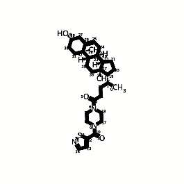 CC(CCC(=O)N1CCN(C(=O)c2ccns2)CC1)[C@H]1CC[C@H]2[C@@H]3CC=C4C[C@@H](O)CC[C@]4(C)[C@H]3CC[C@]12C